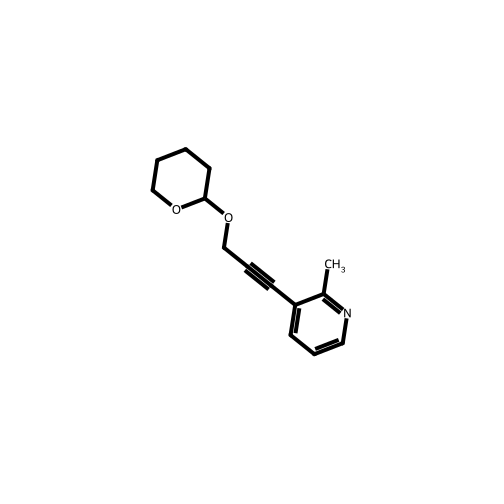 Cc1ncccc1C#CCOC1CCCCO1